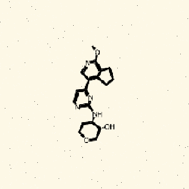 COc1ncc(-c2ccnc(N[C@@H]3CCOC[C@H]3O)n2)c2c1CCC2